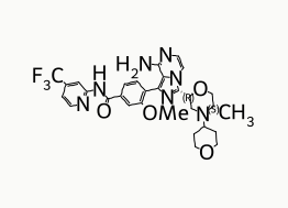 COc1cc(C(=O)Nc2cc(C(F)(F)F)ccn2)ccc1-c1nc([C@H]2CN(C3CCOCC3)[C@@H](C)CO2)n2ccnc(N)c12